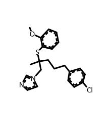 COc1ccccc1SC(C)(CCCc1ccc(Cl)cc1)Cn1ccnc1